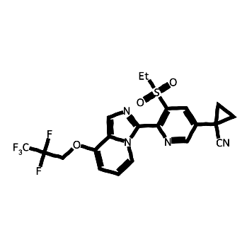 CCS(=O)(=O)c1cc(C2(C#N)CC2)cnc1-c1ncc2c(OCC(F)(F)C(F)(F)F)cccn12